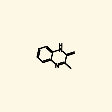 C=C1Nc2ccccc2N=C1C